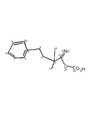 CC(C)(CCc1ccccc1)C(=N)OC(=O)O